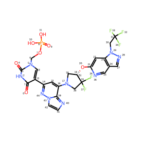 O=c1[nH]c(=O)n(COP(=O)(O)O)cc1-c1cc(N2C[C@H](Oc3cc4c(cn3)cnn4CC(F)(F)F)C(F)(F)C2)c2nccn2n1